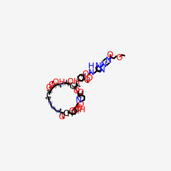 CCOCCC(=O)N1CCN(c2ncc(CNC(=O)O[C@@H]3CC[C@@H](C[C@@H](C)[C@@H]4C[C@@H](O)[C@H](C)/C=C(\C)[C@@H](O)[C@@H](OC)C(=O)[C@H](C)C[C@H](C)/C=C/C=C/C=C(\C)[C@@H](OC)C[C@@H]5CC[C@@H](C)[C@@](O)(O5)C(=O)C(=O)N5CCCC[C@H]5C(=O)O4)C[C@H]3OC)cn2)CC1